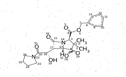 CC1(C)[C@H](C(=O)OCc2ccccc2)N2C(=O)[C@@H]([C@H](O)C(=O)N3CCCC3)[C@H]2S1(=O)=O